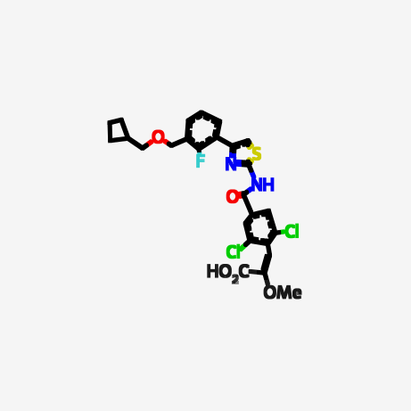 COC(=Cc1c(Cl)cc(C(=O)Nc2nc(-c3cccc(COCC4CCC4)c3F)cs2)cc1Cl)C(=O)O